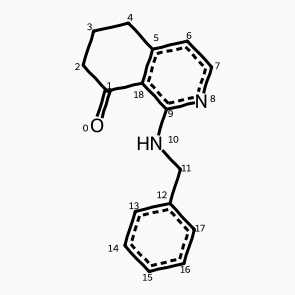 O=C1CCCc2ccnc(NCc3ccccc3)c21